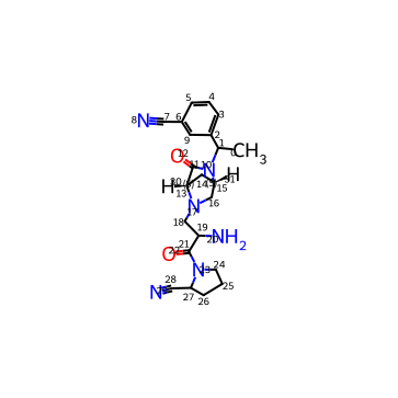 CC(c1cccc(C#N)c1)N1C(=O)[C@@H]2C[C@H]1CN2CC(N)C(=O)N1CCCC1C#N